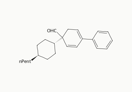 CCCCC[C@H]1CC[C@H](C2(C=O)C=CC(c3ccccc3)=CC2)CC1